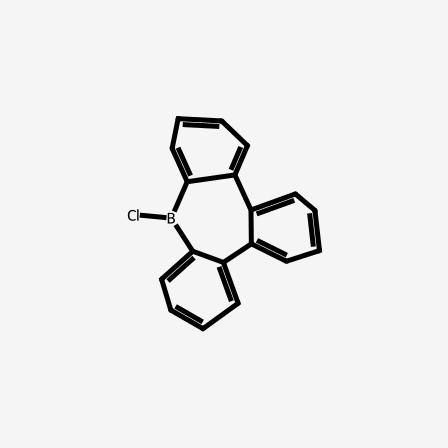 ClB1c2ccccc2-c2ccccc2-c2ccccc21